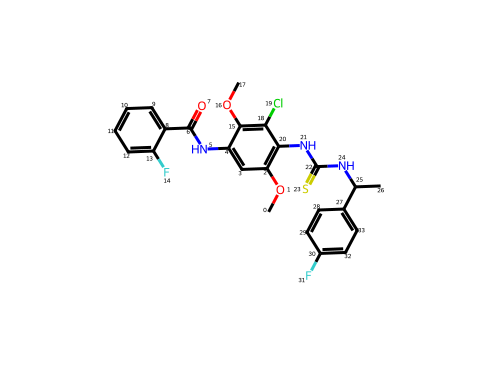 COc1cc(NC(=O)c2ccccc2F)c(OC)c(Cl)c1NC(=S)NC(C)c1ccc(F)cc1